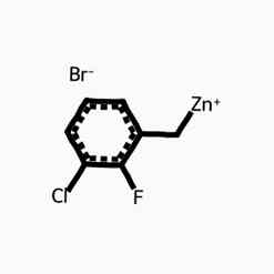 Fc1c(Cl)cccc1[CH2][Zn+].[Br-]